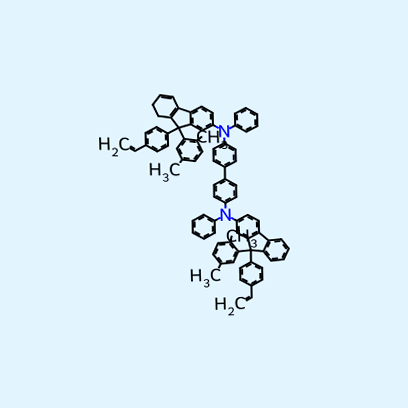 C=Cc1ccc(C2(c3cc(C)ccc3C)C3=C(C=CCC3)c3ccc(N(c4ccccc4)c4ccc(-c5ccc(N(c6ccccc6)c6ccc7c(c6)C(c6ccc(C=C)cc6)(c6cc(C)ccc6C)c6ccccc6-7)cc5)cc4)cc32)cc1